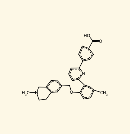 Cc1ccc(OCc2ccc3c(c2)CCN(C)C3)c(-c2cccc(-c3ccc(C(=O)O)cc3)n2)c1